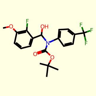 COc1cccc(C(O)N(C(=O)OC(C)(C)C)c2ccc(C(F)(F)F)cc2)c1F